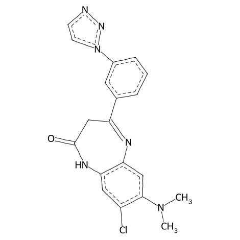 CN(C)c1cc2c(cc1Cl)NC(=O)CC(c1cccc(-n3ccnn3)c1)=N2